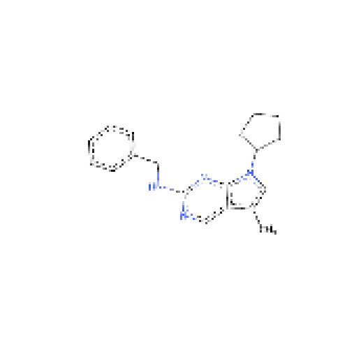 Cc1cn(C2CCCC2)c2nc(NCc3ccccc3)ncc12